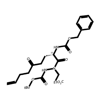 C=CCCC(=O)CC[C@H](NC(=O)OCc1ccccc1)C(=O)N(CC(=O)OCC)NC(=O)OC(C)(C)C